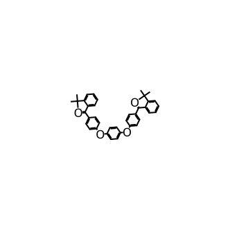 CC(C)(C)c1ccccc1C(=O)c1ccc(Oc2ccc(Oc3ccc(C(=O)c4ccccc4C(C)(C)C)cc3)cc2)cc1